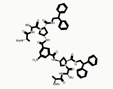 CN[C@@H](C)C(=O)N[C@H](C(=O)N1C[C@@H](NC(=O)c2cc(N)cc(C(=O)N[C@H]3C[C@@H](C(=O)NCC(c4ccccc4)c4ccccc4)N(C(=O)[C@@H](NC(=O)[C@H](C)NC)C(C)(C)C)C3)c2)C[C@H]1C(=O)NCC(c1ccccc1)c1ccccc1)C(C)(C)C